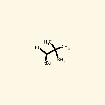 BC(C)(C)C(CC)C(C)(C)C